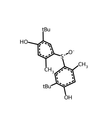 Cc1cc(O)c(C(C)(C)C)cc1[S+]([O-])c1cc(C(C)(C)C)c(O)cc1C